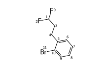 FC(F)CCc1ccccc1Br